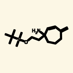 C=C1C=CC(N)(CCO[Si](C)(C)C(C)(C)C)CCC1